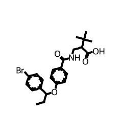 CCC(Oc1ccc(C(=O)NCC(C(=O)O)C(C)(C)C)cc1)c1ccc(Br)cc1